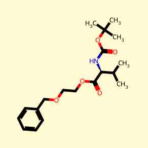 CC(C)[C@H](NC(=O)OC(C)(C)C)C(=O)OCCOCc1ccccc1